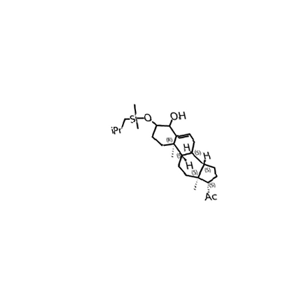 CC(=O)[C@H]1CC[C@H]2[C@@H]3CC=C4C(O)C(O[Si](C)(C)CC(C)C)CC[C@]4(C)[C@H]3CC[C@]12C